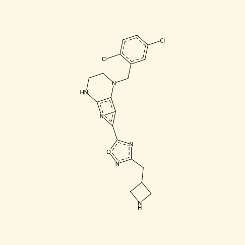 Clc1ccc(Cl)c(CN2CCNc3c2c2c(-c4nc(CC5CNC5)no4)n3-2)c1